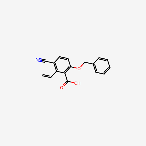 C=Cc1c(C#N)ccc(OCc2ccccc2)c1C(=O)O